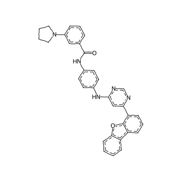 O=C(Nc1ccc(Nc2cc(-c3cccc4c3oc3ccccc34)ncn2)cc1)c1cccc(N2CCCC2)c1